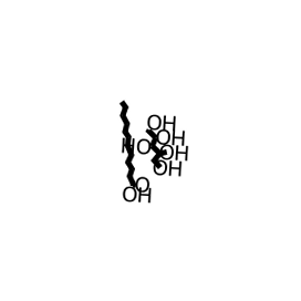 CCCCCCCCCCCC(=O)O.OCC(O)C(O)C(O)CO